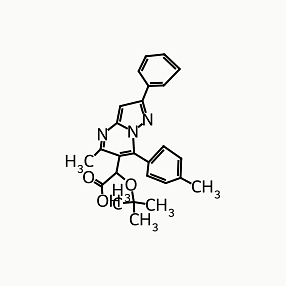 Cc1ccc(-c2c(C(OC(C)(C)C)C(=O)O)c(C)nc3cc(-c4ccccc4)nn23)cc1